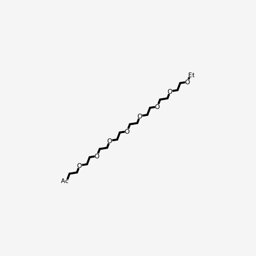 CCOCCOCCOCCOCCOCCOCCOCCOCCC(C)=O